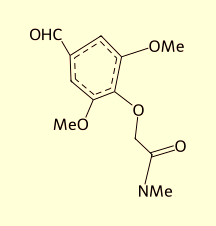 CNC(=O)COc1c(OC)cc(C=O)cc1OC